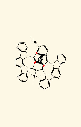 N#Cc1cccc(-c2cc(-n3c4ccccc4c4ccc5c6ccccc6n(-c6ccccc6)c5c43)c(C(F)(F)F)c(-n3c4ccccc4c4ccc5c6ccccc6n(-c6ccccc6)c5c43)c2)c1